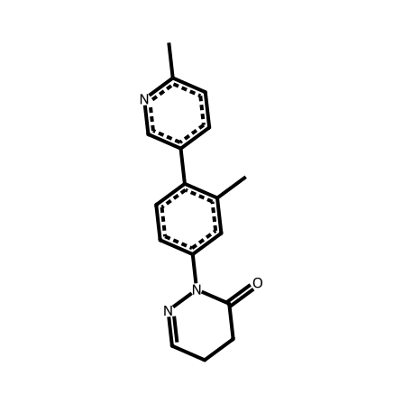 Cc1ccc(-c2ccc(N3N=CCCC3=O)cc2C)cn1